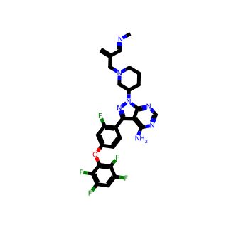 C=C(/C=N/C)CN1CCCC(n2nc(-c3ccc(Oc4c(F)c(F)cc(F)c4F)cc3F)c3c(N)ncnc32)C1